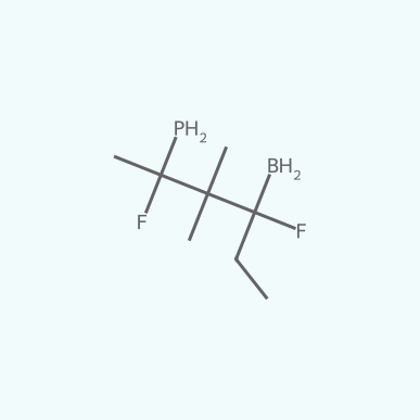 BC(F)(CC)C(C)(C)C(C)(F)P